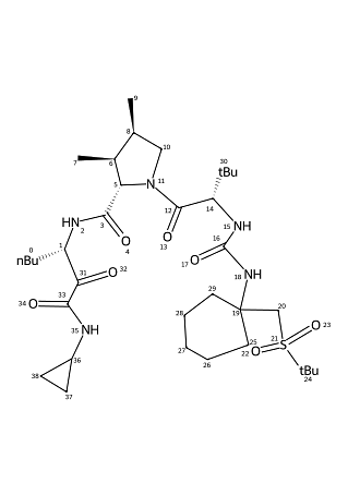 CCCC[C@H](NC(=O)[C@@H]1[C@@H](C)[C@@H](C)CN1C(=O)[C@@H](NC(=O)NC1(CS(=O)(=O)C(C)(C)C)CCCCC1)C(C)(C)C)C(=O)C(=O)NC1CC1